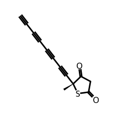 C#CC#CC#CC#C[C@@]1(C)SC(=O)CC1=O